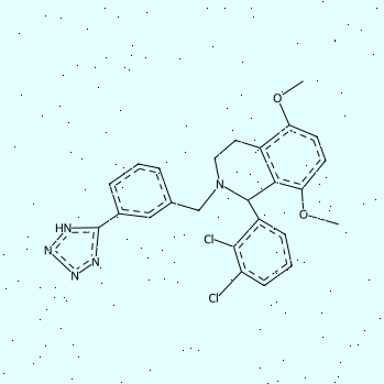 COc1ccc(OC)c2c1CCN(Cc1cccc(-c3nnn[nH]3)c1)C2c1cccc(Cl)c1Cl